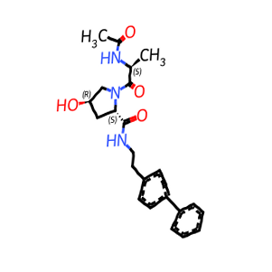 CC(=O)N[C@@H](C)C(=O)N1C[C@H](O)C[C@H]1C(=O)NCCc1ccc(-c2ccccc2)cc1